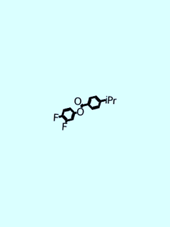 CC(C)c1ccc(C(=O)Oc2ccc(F)c(F)c2)cc1